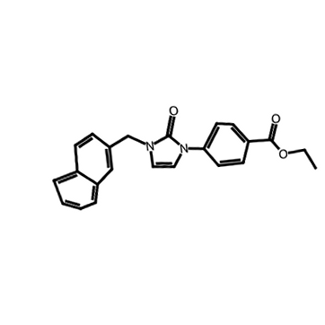 CCOC(=O)c1ccc(-n2ccn(Cc3ccc4ccccc4c3)c2=O)cc1